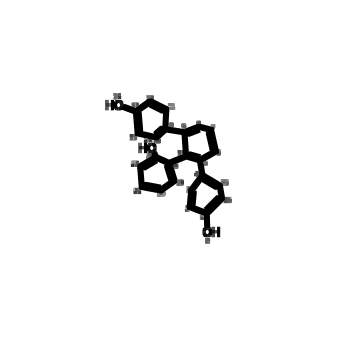 Oc1ccc(-c2cccc(-c3ccc(O)cc3)c2-c2ccccc2O)cc1